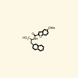 COc1ccc2oc(C(=O)NC(Cc3ccc4ccccc4c3)C(=O)O)cc2c1